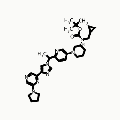 CC(c1ccc(N2CCC[C@@H](N(CC3CC3)C(=O)OC(C)(C)C)C2)cn1)n1cnc(-c2cncc(N3CCCC3)n2)c1